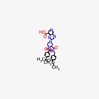 CCCc1ccc(CNC(=O)C2CN(c3cnc4cncc(C(=O)O)c4n3)CCN2S(=O)(=O)c2ccc(C(C)(C)C)cc2)cc1